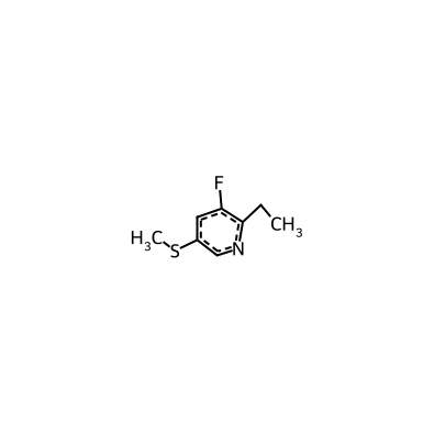 CCc1ncc(SC)cc1F